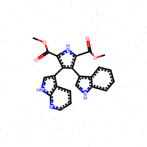 COC(=O)c1[nH]c(C(=O)OC)c(-c2c[nH]c3ncccc23)c1-c1c[nH]c2ccccc12